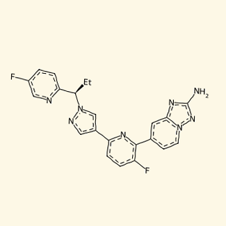 CC[C@H](c1ccc(F)cn1)n1cc(-c2ccc(F)c(-c3ccn4nc(N)nc4c3)n2)cn1